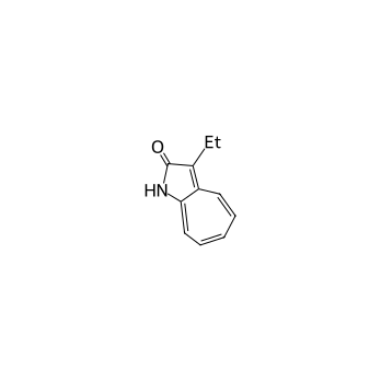 CCc1c2cccccc-2[nH]c1=O